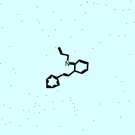 C=CCN=C1C=CC=CC1C=Cc1ccccc1